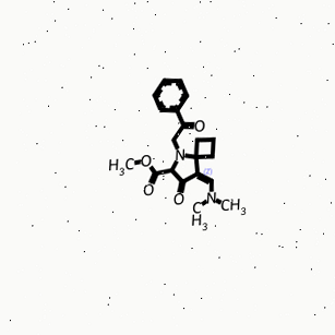 COC(=O)C1C(=O)/C(=C\N(C)C)C2(CCC2)N1CC(=O)c1ccccc1